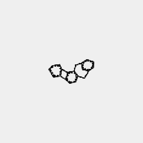 c1cc2cc(c1)Cc1c(ccc3c1-c1ccccc1-3)C2